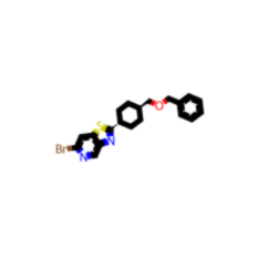 Brc1cc2sc([C@H]3CC[C@H](COCc4ccccc4)CC3)nc2cn1